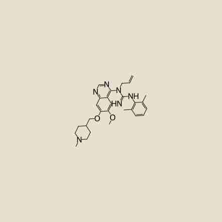 C=CCN(C(=N)Nc1c(C)cccc1C)c1ncnc2cc(OCC3CCN(C)CC3)c(OC)cc12